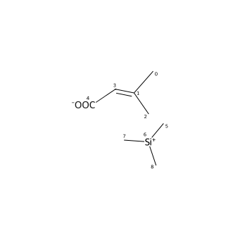 CC(C)=CC(=O)[O-].C[Si+](C)C